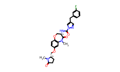 CN1C(=O)[C@@H](NC(=O)n2cc(Cc3cccc(F)c3)cn2)COc2ccc(OC[C@@H]3CCC(=O)N3C)cc21